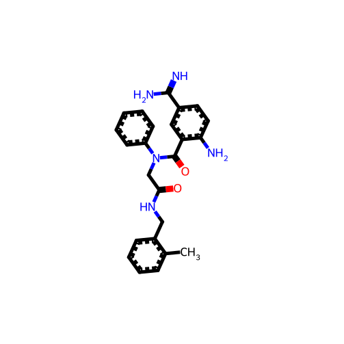 Cc1ccccc1CNC(=O)CN(C(=O)c1cc(C(=N)N)ccc1N)c1ccccc1